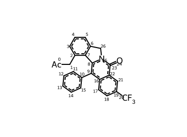 CC(=O)Cc1cccc2c1-c1c(-c3ccccc3)c3ccc(C(F)(F)F)cc3c(=O)n1C2